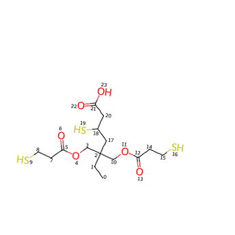 CCC(COC(=O)CCS)(COC(=O)CCS)CC(S)CC(=O)O